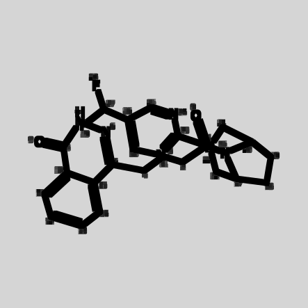 O=C(CCCc1n[nH]c(=O)c2ccccc12)N1C2CCC1CN(c1ncc(C(F)F)cn1)C2